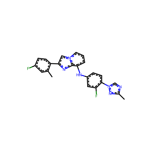 Cc1ncn(-c2ccc(Nc3cccn4cc(-c5ccc(F)cc5C)nc34)cc2F)n1